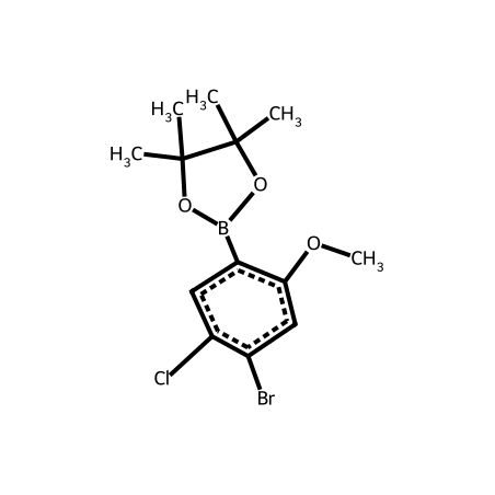 COc1cc(Br)c(Cl)cc1B1OC(C)(C)C(C)(C)O1